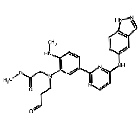 CNc1ccc(-c2nccc(Nc3ccc4[nH]ncc4c3)n2)cc1N(CCC=O)CC(=O)OC